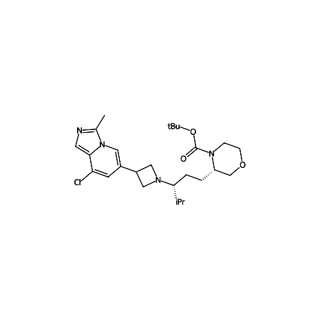 Cc1ncc2c(Cl)cc(C3CN([C@H](CC[C@H]4COCCN4C(=O)OC(C)(C)C)C(C)C)C3)cn12